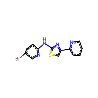 Brc1ccc(Nc2nc(-c3ccccn3)cs2)nc1